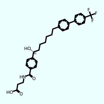 O=C(O)CCNC(=O)c1ccc([C@H](O)CCCCCCc2ccc(-c3ccc(C(F)(F)F)cc3)cc2)cc1